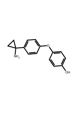 NC1(c2ccc(Oc3ccc(O)cc3)cc2)CC1